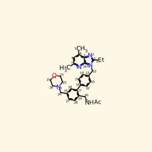 CCc1nc2c(C)cc(C)nc2n1Cc1ccc(-c2cc(CN3CCOCC3)ccc2CNC(C)=O)cc1